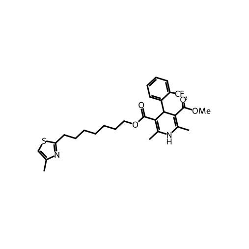 COC(=O)C1=C(C)NC(C)=C(C(=O)OCCCCCCCc2nc(C)cs2)C1c1ccccc1C(F)(F)F